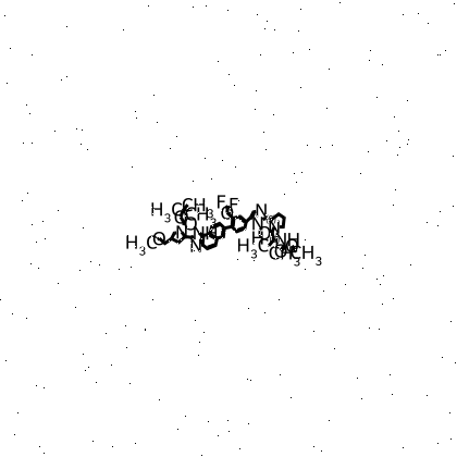 COCC1CC(c2nc3ccc4cc(-c5ccc(-c6cnc([C@@H]7CCCN7C(=O)[C@@H](NC(=O)OC)C(C)C)[nH]6)cc5OC(F)F)ccc4c3[nH]2)N(C(=O)OC(C)(C)C)C1